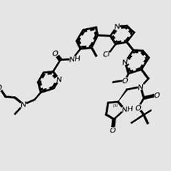 COc1nc(-c2ccnc(-c3cccc(NC(=O)c4ccc(CN(C)CCO)cn4)c3C)c2Cl)ccc1CN(C[C@@H]1CCC(=O)N1)C(=O)OC(C)(C)C